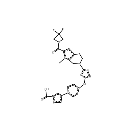 Cn1c(C(=O)N2CC(F)(F)C2)cc2c1CN(c1nnc(Nc3ccc(-c4cnn(C(=O)O)c4)cc3)s1)CC2